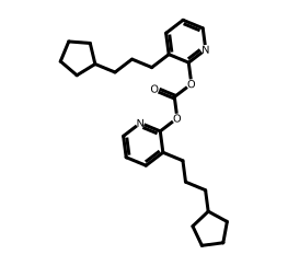 O=C(Oc1ncccc1CCCC1CCCC1)Oc1ncccc1CCCC1CCCC1